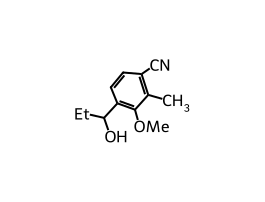 CCC(O)c1ccc(C#N)c(C)c1OC